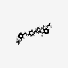 CC(=O)Nc1cccc(Nc2ncnc(N3CCC(OCc4cccc(OC(F)(F)F)c4)CC3)n2)c1F